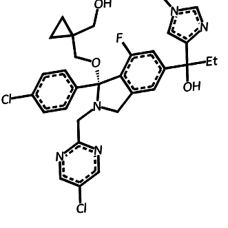 CCC(O)(c1cc(F)c2c(c1)CN(Cc1ncc(Cl)cn1)[C@@]2(OCC1(CO)CC1)c1ccc(Cl)cc1)c1cn(C)cn1